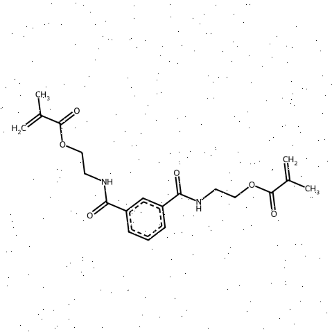 C=C(C)C(=O)OCCNC(=O)c1cccc(C(=O)NCCOC(=O)C(=C)C)c1